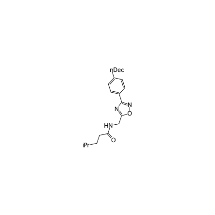 CCCCCCCCCCc1ccc(-c2noc(CNC(=O)CCC(C)C)n2)cc1